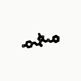 C=C(CCN1CCC(=O)CC1)n1cc(C)nc1COCc1ccccc1